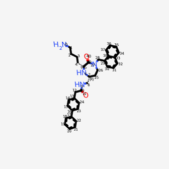 NCCCC[C@H]1N[C@@H](CNC(=O)Cc2ccc(-c3ccccc3)cc2)CCN(Cc2cccc3ccccc23)C1=O